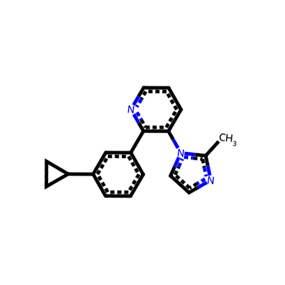 Cc1nccn1-c1cccnc1-c1cccc(C2CC2)c1